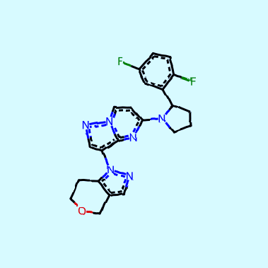 Fc1ccc(F)c(C2CCCN2c2ccn3ncc(-n4ncc5c4CCOC5)c3n2)c1